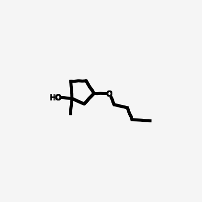 CCCCOC1CCC(C)(O)C1